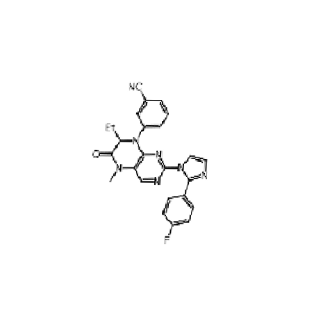 CCC1C(=O)N(C)c2cnc(-n3ccnc3-c3ccc(F)cc3)nc2N1c1cccc(C#N)c1